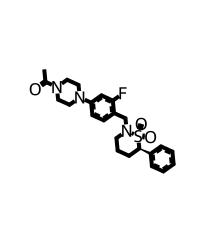 CC(=O)N1CCN(c2ccc(CN3CCC[C@H](c4ccccc4)S3(=O)=O)c(F)c2)CC1